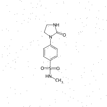 CNS(=O)(=O)c1ccc(N2CCNC2=O)cc1